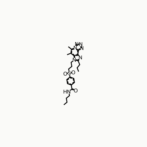 CCCCNC(=O)c1ccc(S(=O)(=O)CCCn2c(CCC)nc3c2c(C)c(C)n2nnnc32)cc1